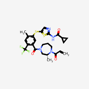 C=CC(=O)N1CCCN(C(=O)c2cc(Sc3cnc(NC(=O)C4CC4)s3)c(C)cc2C(F)(F)F)C[C@H]1C